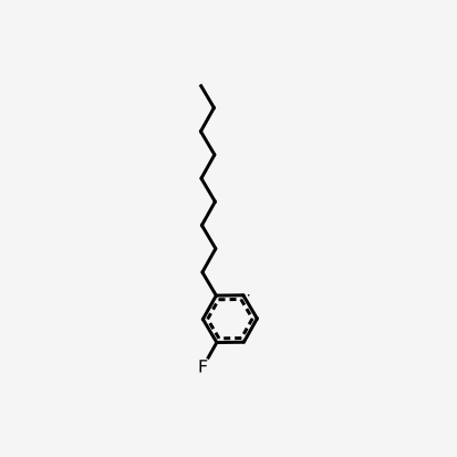 CCCCCCCCCc1[c]ccc(F)c1